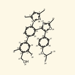 Cc1cc(C)n(-c2ccc(-c3cc(C)c(CO)c(F)c3)cc2-c2nc(C)oc2-c2ccc(OC(F)F)cc2)n1